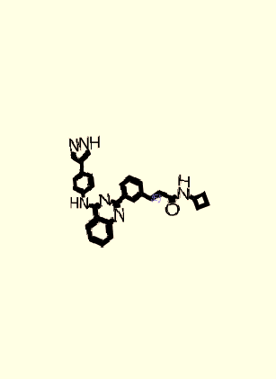 O=C(/C=C/c1cccc(-c2nc(Nc3ccc(-c4cn[nH]c4)cc3)c3ccccc3n2)c1)NC1CCC1